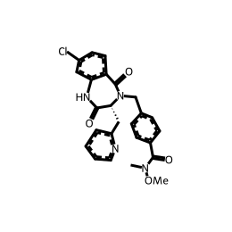 CON(C)C(=O)c1ccc(CN2C(=O)c3ccc(Cl)cc3NC(=O)[C@H]2Cc2ccccn2)cc1